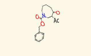 CC(=O)C1CN(C(=O)OCc2ccccc2)CCCCC1=O